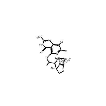 CSc1nc2c(Cl)c(Cl)nc(OC(C)[C@H]3NC[C@H]4CC[C@@H]3N4C(=O)O)c2c(=O)[nH]1